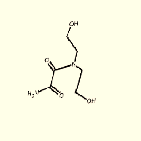 NC(=O)C(=O)N(CCO)CCO